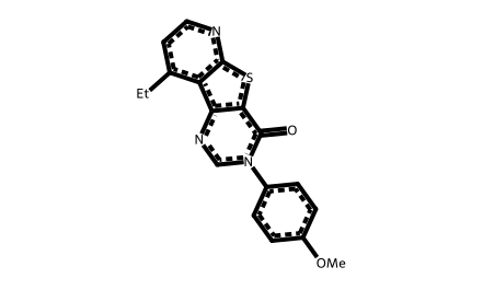 CCc1ccnc2sc3c(=O)n(-c4ccc(OC)cc4)cnc3c12